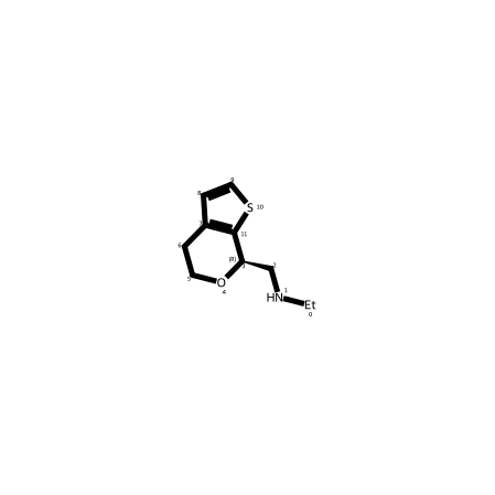 CCNC[C@H]1OCCc2ccsc21